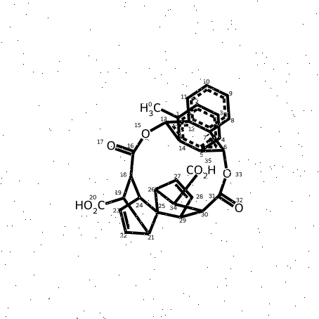 Cc1cccc2c3c4ccccc4c(c12)OC(=O)C1C(C(=O)O)C2C=CC1C21C2C=CC1C(C(=O)O3)C2C(=O)O